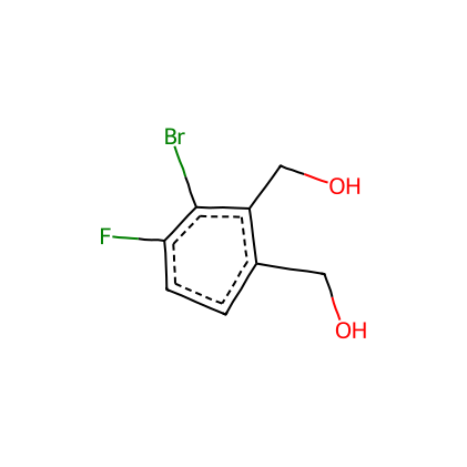 OCc1ccc(F)c(Br)c1CO